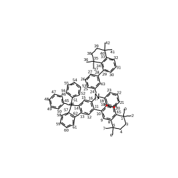 CC1(C)CCC(C)(C)c2cc(-c3cc4c(cc3N(c3ccccc3)c3cccc(-c5cccc6c5C(C)(C)CCC6(C)C)c3)C(c3ccccc3)(c3ccccc3)c3ccccc3-4)ccc21